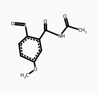 COc1ccc(I=O)c(C(=O)NC(C)=O)c1